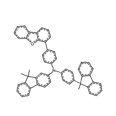 CC1(C)c2ccccc2-c2ccc(N(c3ccc(-c4cccc5c4oc4ccccc45)cc3)c3ccc(C4(C)c5ccccc5-c5ccccc54)cc3)cc21